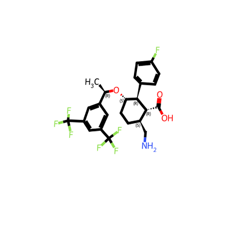 C[C@@H](O[C@H]1CC[C@H](CN)[C@@H](C(=O)O)[C@@H]1c1ccc(F)cc1)c1cc(C(F)(F)F)cc(C(F)(F)F)c1